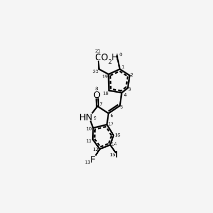 Cc1ccc(/C=C2\C(=O)Nc3cc(F)c(I)cc32)cc1CC(=O)O